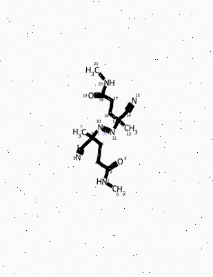 CNC(=O)CCC(C)(C#N)/N=N/C(C)(C#N)CCC(=O)NC